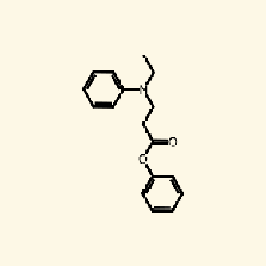 CCN(CCC(=O)Oc1ccccc1)c1ccccc1